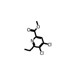 CCc1nc(C(=O)OC)cc(Cl)c1Cl